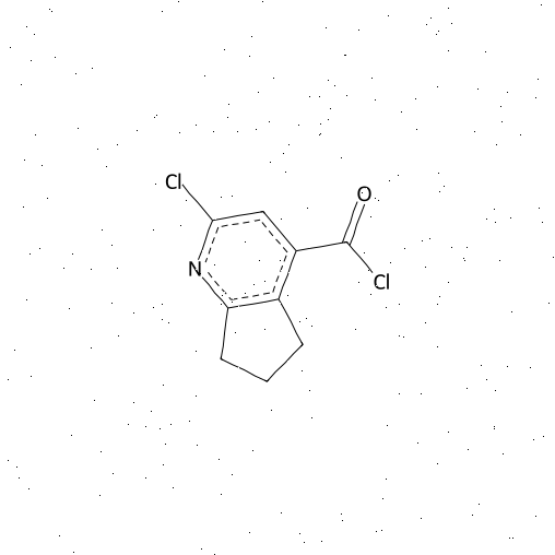 O=C(Cl)c1cc(Cl)nc2c1CCC2